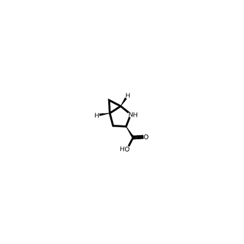 O=C(O)[C@H]1C[C@@H]2C[C@@H]2N1